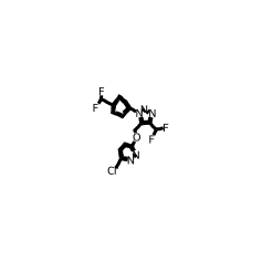 FC(F)c1ccc(-n2nnc(C(F)F)c2COc2ccc(Cl)nn2)cc1